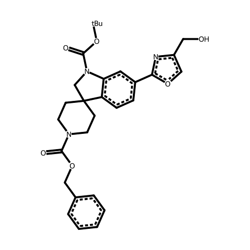 CC(C)(C)OC(=O)N1CC2(CCN(C(=O)OCc3ccccc3)CC2)c2ccc(-c3nc(CO)co3)cc21